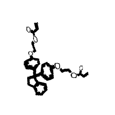 C=CC(=O)OCCOc1ccc(C2(c3ccc(OCCOC(=O)C=C)cc3)CCc3ccccc32)cc1